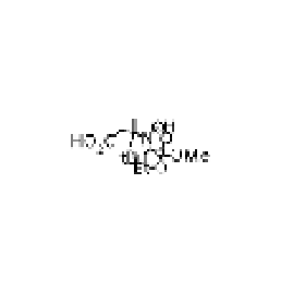 CCOP(=O)(OC)C(N(O)C(C)(C)CC(=O)O)C(C)(C)C